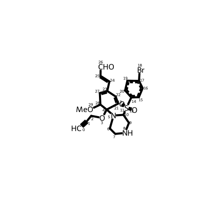 C#CCOC1(N2CCNCC2S(=O)(=O)c2ccc(Br)cc2)C=CC(C=CC=O)=CC1OC